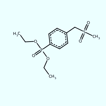 CCOP(=O)(OCC)c1ccc(CS(C)(=O)=O)cc1